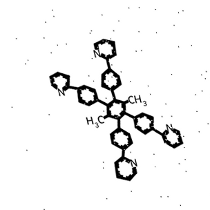 Cc1c(-c2ccc(-c3ccccn3)cc2)c(-c2ccc(-c3ccccn3)cc2)c(C)c(-c2ccc(-c3ccccn3)cc2)c1-c1ccc(-c2ccccn2)cc1